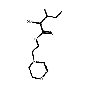 CCC(C)C(N)C(=O)NCCN1CCOCC1